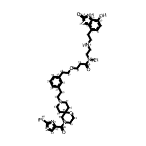 CCN(CCNCCc1ccc(O)c2[nH]c(=O)sc12)C(=O)CCOCCc1cccc(CCN2CCC3(CC2)CN(C(=O)c2csc(C(C)C)n2)CCO3)c1